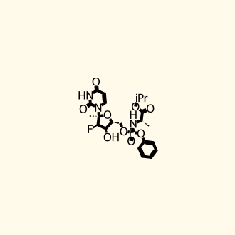 CC(C)OC(=O)[C@H](C)NP(=O)(OC[C@H]1O[C@](C)(n2ccc(=O)[nH]c2=O)[C@H](F)[C@@H]1O)Oc1ccccc1